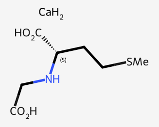 CSCC[C@H](NCC(=O)O)C(=O)O.[CaH2]